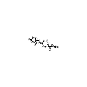 Cc1cc(F)ccc1CNC1CCCN(C(=O)OC(C)(C)C)CC1